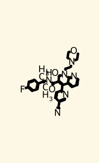 CC(C)(NC(=O)c1c(-c2ccc(C#N)cn2)c2cccnc2n(CCN2CCOCC2)c1=O)c1ccc(F)cc1